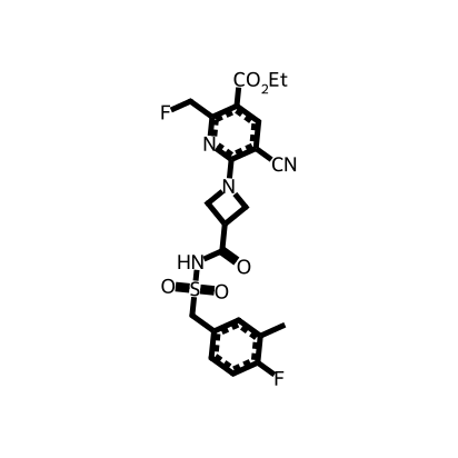 CCOC(=O)c1cc(C#N)c(N2CC(C(=O)NS(=O)(=O)Cc3ccc(F)c(C)c3)C2)nc1CF